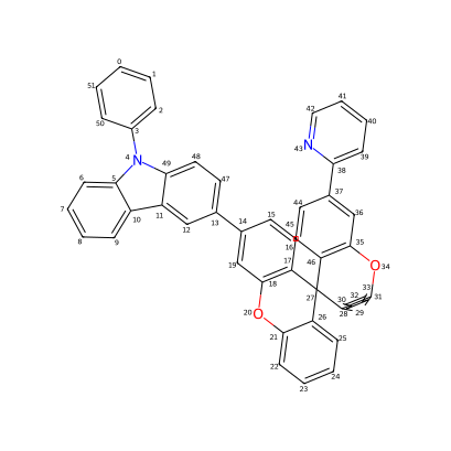 c1ccc(-n2c3ccccc3c3cc(-c4ccc5c(c4)Oc4ccccc4C54c5ccccc5Oc5cc(-c6ccccn6)ccc54)ccc32)cc1